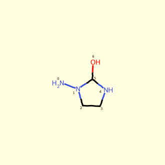 NN1CCNC1O